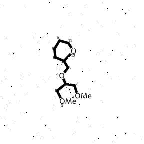 COCC(COC)OCC1CCCCO1